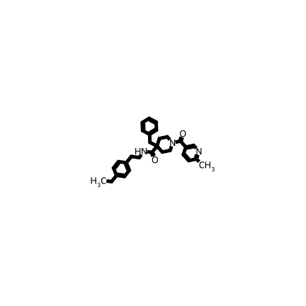 CCc1ccc(CCNC(=O)C2(Cc3ccccc3)CCN(C(=O)c3ccc(C)nc3)CC2)cc1